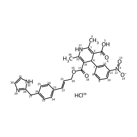 CC1=C(C(=O)O)C(c2cccc([N+](=O)[O-])c2)C(C(=O)OCC=Cc2ccc(Cc3ncc[nH]3)cc2)=C(C)N1.Cl